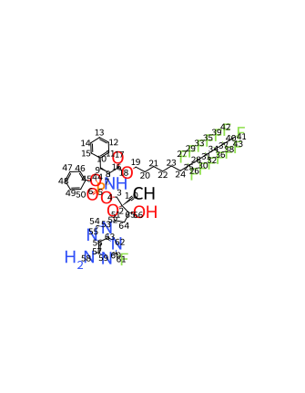 C#C[C@]1(CO[P@](=O)(N[C@@H](Cc2ccccc2)C(=O)OCCCCCCC(F)(F)C(F)(F)C(F)(F)C(F)(F)C(F)(F)C(F)(F)F)Oc2ccccc2)O[C@@H](n2cnc3c(N)nc(F)nc32)C[C@@H]1O